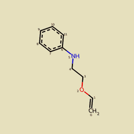 C=COCCNc1ccccc1